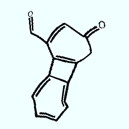 O=CC1=CC(=O)CC2=C1c1ccccc12